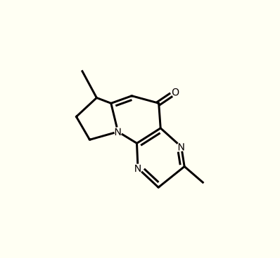 Cc1cnc2c(n1)c(=O)cc1n2CCC1C